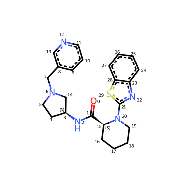 O=C(N[C@H]1CCN(Cc2cccnc2)C1)[C@@H]1CCCCN1c1nc2ccccc2s1